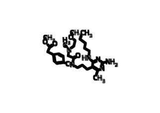 CCCCCNc1nc(N)nc(C)c1CCCN(Cc1ccc(CC(=O)OC)cc1)C(=O)CN(C)CCOC